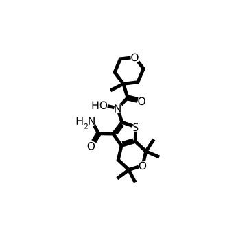 CC1(C)Cc2c(sc(N(O)C(=O)C3(C)CCOCC3)c2C(N)=O)C(C)(C)O1